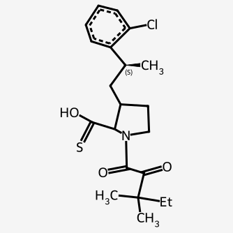 CCC(C)(C)C(=O)C(=O)N1CCC(C[C@H](C)c2ccccc2Cl)C1C(O)=S